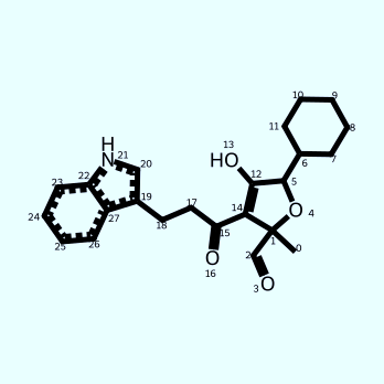 CC1(C=O)OC(C2CCCCC2)C(O)=C1C(=O)CCc1c[nH]c2ccccc12